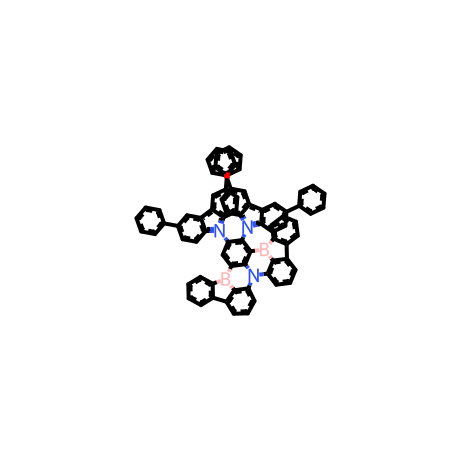 c1ccc(-c2ccc3c(c2)c2cc(-c4ccccc4)ccc2n3-c2cc3c4c(c2-n2c5ccc(-c6ccccc6)cc5c5cc(-c6ccccc6)ccc52)B2c5ccccc5-c5cccc(c52)N4c2cccc4c2B3c2ccccc2-4)cc1